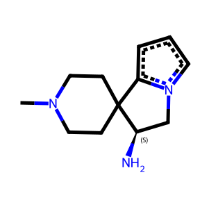 CN1CCC2(CC1)c1cccn1C[C@H]2N